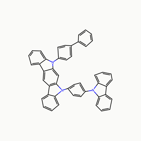 c1ccc(-c2ccc(-n3c4ccccc4c4cc5c6ccccc6n(-c6ccc(-n7c8ccccc8c8ccccc87)cc6)c5cc43)cc2)cc1